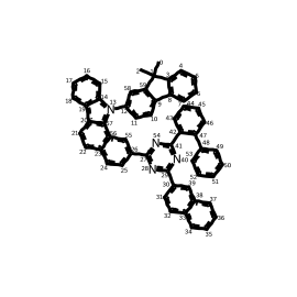 CC1(C)c2ccccc2-c2ccc(-n3c4ccccc4c4ccc5ccc(-c6nc(-c7ccc8ccccc8c7)nc(-c7ccccc7-c7ccccc7)n6)cc5c43)cc21